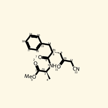 COC(=O)[C@H](C)NC(=O)[C@@H](CC(=O)CC#N)Cc1ccccc1